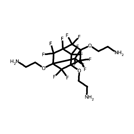 NCCOC12C(F)(F)C3(F)C(F)(F)C(OCCN)(C1(F)F)C(F)(F)C(OCCN)(C3(F)F)C2(F)F